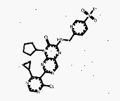 CCc1ncnc(C2CC2)c1-c1ncc2nc(NCc3ccc(S(=O)(=O)CC)cn3)c(=O)n(C3CCCC3)c2n1